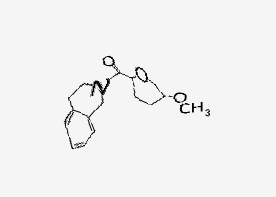 COC1CCC(C(=O)N2CCc3ccccc3C2)OC1